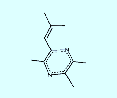 CC(C)=Cc1nc(C)c(C)nc1C